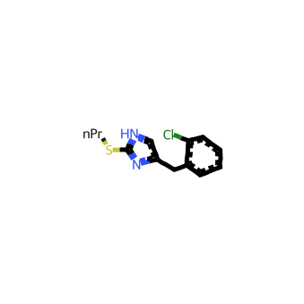 CCCSc1nc(Cc2ccccc2Cl)c[nH]1